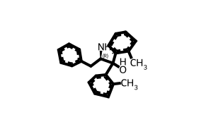 Cc1ccccc1C(O)(c1ccccc1C)[C@H](N)Cc1ccccc1